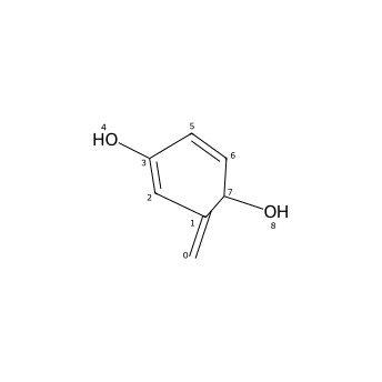 C=C1C=C(O)C=CC1O